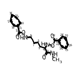 CNC(=O)C(CCCCNOC(=O)c1ccccc1)NOC(=O)c1ccccc1